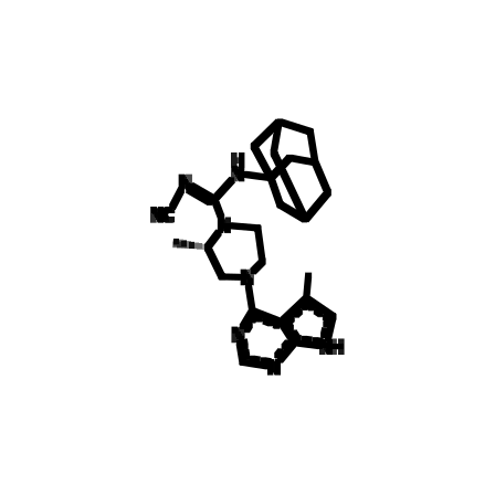 Cc1c[nH]c2ncnc(N3CCN(/C(=N\C#N)NC45CC6CC(CC(C6)C4)C5)[C@@H](C)C3)c12